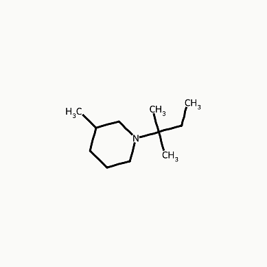 CCC(C)(C)N1CCCC(C)C1